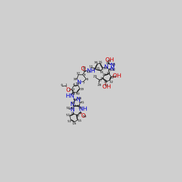 CCOc1cc(N2CCC(C(=O)NCc3ccc(-n4c(O)nnc4-c4cc(C(C)C)c(O)cc4O)cc3)CC2)ccc1Nc1ncc2c(n1)N(C)c1ccccc1C(=O)N2